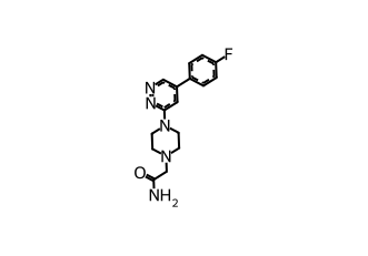 NC(=O)CN1CCN(c2cc(-c3ccc(F)cc3)cnn2)CC1